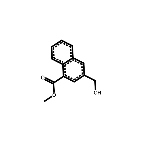 COC(=O)c1cc(CO)cc2ccccc12